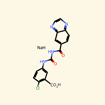 O=C(NC(=O)c1ccc2nccnc2c1)Nc1ccc(Cl)c(C(=O)O)c1.[NaH]